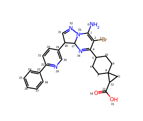 NC1=C(Br)C(C2CCC3(CC2)CC3C(=O)O)=NC2C(c3ccc(-c4ccccc4)nc3)C=NN12